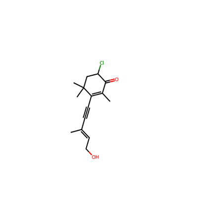 CC1=C(C#C/C(C)=C/CO)C(C)(C)CC(Cl)C1=O